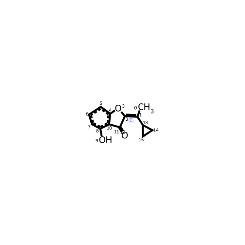 C/C(=C1\Oc2cccc(O)c2C1=O)C1CC1